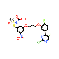 C[SH](O)(Cc1cc(OCCCOc2cc(-c3nc(Cl)ncc3F)ccc2F)cc([N+](=O)[O-])c1)=NC(=O)O